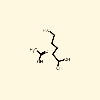 CC(=O)O.CCCCCC(C)O